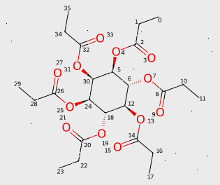 CCC(=O)O[C@H]1[C@H](OC(=O)CC)[C@@H](OC(=O)CC)[C@H](OC(=O)CC)[C@@H](OC(=O)CC)[C@H]1OC(=O)CC